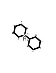 C1CCC([SH]2CCCCC2)CC1